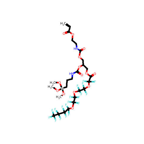 C=CC(=O)OCCNC(=O)OCC(COC(=O)C(F)(F)OC(F)(F)C(F)(F)OC(F)(F)C(F)(F)OC(F)(F)C(F)(F)C(F)(F)C(F)(F)F)OC(=O)NCCC[Si](OC)(OC)OC